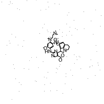 COC(=O)c1cnc(Nc2cc([N+](=O)[O-])c(N(C)CCN(C)C)cc2OC)nc1C1CN2CCCc3cccc1c32